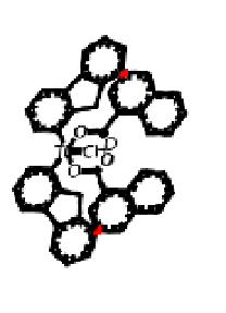 [CH2]=[Ti]([O]C(=O)c1cccc2ccccc12)([O]C(=O)c1cccc2ccccc12)([c]1cccc2c1Cc1ccccc1-2)[c]1cccc2c1Cc1ccccc1-2